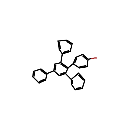 Brc1ccc(-c2c(-c3ccccc3)cc(-c3ccccc3)cc2-c2ccccc2)cc1